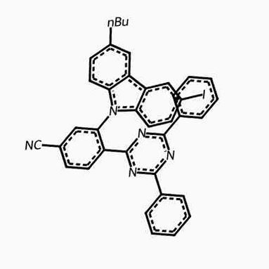 CCCCc1ccc2c(c1)c1cc(I)ccc1n2-c1cc(C#N)ccc1-c1nc(-c2ccccc2)nc(-c2ccccc2)n1